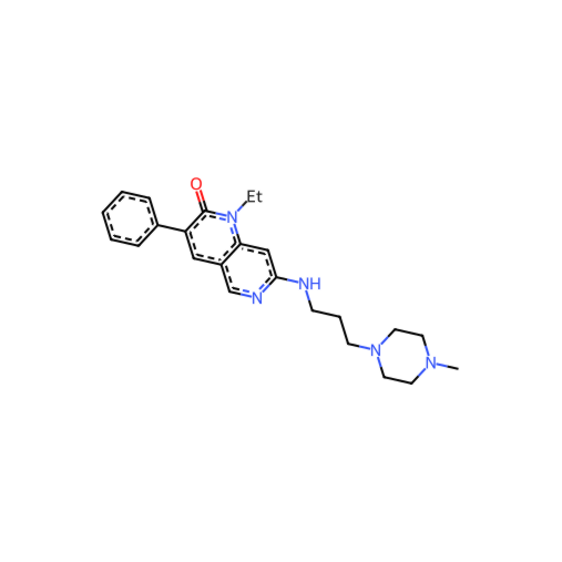 CCn1c(=O)c(-c2ccccc2)cc2cnc(NCCCN3CCN(C)CC3)cc21